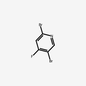 Fc1cc(Br)ncc1Br